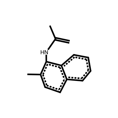 C=C(C)Nc1c(C)ccc2ccccc12